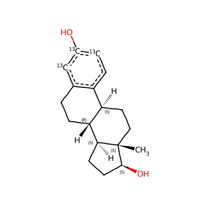 C[C@]12CC[C@@H]3c4c[13cH][13c](O)[13cH]c4CC[C@H]3[C@@H]1CC[C@@H]2O